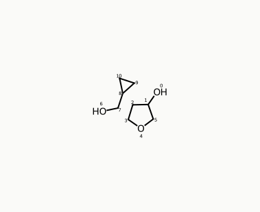 OC1CCOC1.OCC1CC1